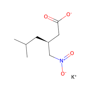 CC(C)C[C@@H](CC(=O)[O-])C[N+](=O)[O-].[K+]